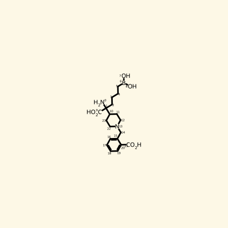 NC(CCCCB(O)O)(C(=O)O)C1CCN(Cc2ccccc2C(=O)O)CC1